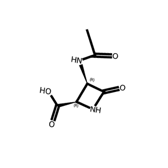 CC(=O)N[C@H]1C(=O)N[C@H]1C(=O)O